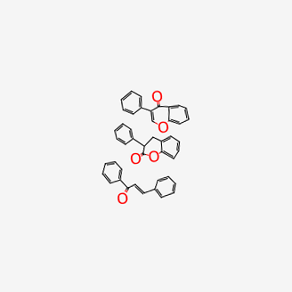 O=C(C=Cc1ccccc1)c1ccccc1.O=C1Oc2ccccc2CC1c1ccccc1.O=c1c(-c2ccccc2)coc2ccccc12